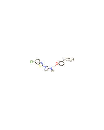 CCN(CCOc1cccc(CC(=O)O)c1)C1CCN(c2nc3ccc(Cl)cc3s2)C1